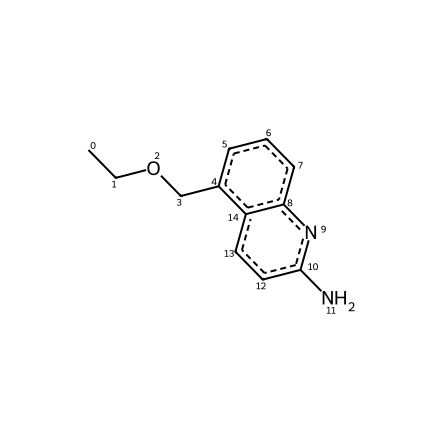 CCOCc1cccc2nc(N)ccc12